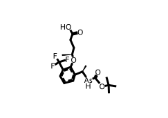 C[C@@H](CCC(=O)O)Oc1c([C@@H](C)[AsH]C(=O)OC(C)(C)C)cccc1C(F)(F)F